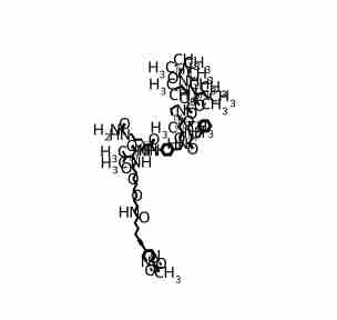 CC[C@H](C)[C@@H]([C@@H](CC(=O)N1CCC[C@H]1[C@H](OC)[C@@H](C)C(=O)N[C@@H](Cc1ccccc1)C(=O)NCc1ccc(NC(=O)[C@H](CCCNC(N)=O)NC(=O)[C@@H](NC(=O)COCCOCCNC(=O)CCCC#Cc2cnc(S(C)(=O)=O)nc2)C(C)C)cc1)OC)N(C)C(=O)[C@@H](NC(=O)[C@H](C(C)C)N(C)C)C(C)C